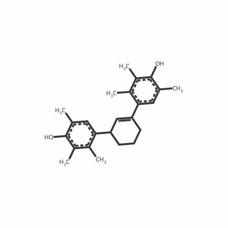 Cc1cc(C2=CC(c3cc(C)c(O)c(C)c3C)CCC2)c(C)c(C)c1O